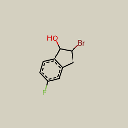 OC1c2ccc(F)cc2CC1Br